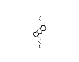 O=C1c2cccc(NCCCO)c2C(=O)c2cccc(NCCCO)c21